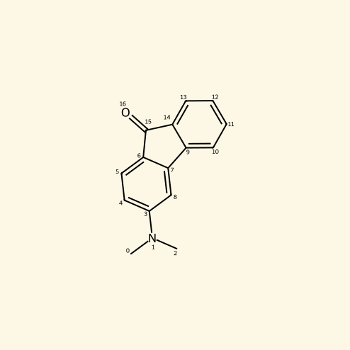 CN(C)c1ccc2c(c1)-c1ccccc1C2=O